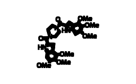 COc1cc2[nH]c(C(=O)N3CCN(C(=O)c4cc5c(OC)c(OC)c(OC)cc5[nH]4)CC3)cc2c(OC)c1OC